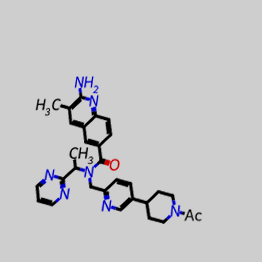 CC(=O)N1CCC(c2ccc(CN(C(=O)c3ccc4nc(N)c(C)cc4c3)C(C)c3ncccn3)nc2)CC1